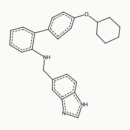 c1ccc(-c2ccc(OC3CCCCC3)cc2)c(NCc2ccc3[nH]cnc3c2)c1